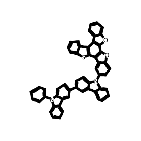 c1ccc(-n2c3ccccc3c3cc(-c4ccc5c(c4)c4ccccc4n5-c4ccc5oc6c7oc8ccccc8c7c7c8ccccc8sc7c6c5c4)ccc32)cc1